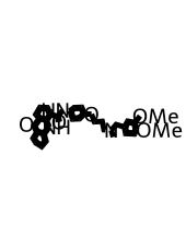 COc1ccc(CN(C)CCCOc2ccc(NC(=O)c3cccc4c(=O)c5ccccc5[nH]c34)cc2)cc1OC